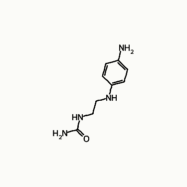 NC(=O)NCCNc1ccc(N)cc1